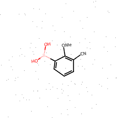 COc1c(C#N)cccc1B(O)O